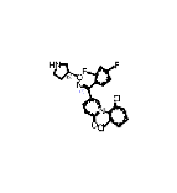 O=c1ccc(/C(=N/O[C@H]2CCNC2)c2ccc(F)cc2F)cn1-c1c(Cl)cccc1Cl